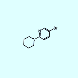 Brc1ccc(N2CC[CH]CC2)nc1